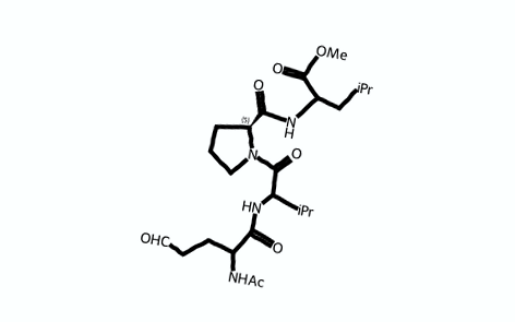 COC(=O)C(CC(C)C)NC(=O)[C@@H]1CCCN1C(=O)C(NC(=O)C(CCC=O)NC(C)=O)C(C)C